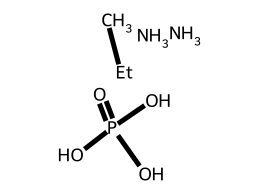 CCC.N.N.O=P(O)(O)O